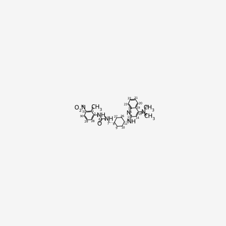 Cc1c(NC(=O)NC[C@H]2CC[C@@H](Nc3cc(N(C)C)c4ccccc4n3)CC2)cccc1[N+](=O)[O-]